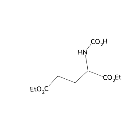 CCOC(=O)CCC(NC(=O)O)C(=O)OCC